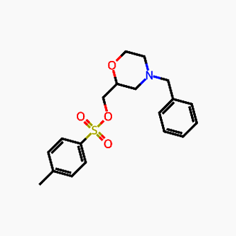 Cc1ccc(S(=O)(=O)OCC2CN(Cc3ccccc3)CCO2)cc1